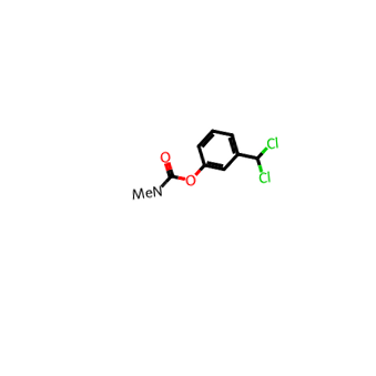 CNC(=O)Oc1cccc(C(Cl)Cl)c1